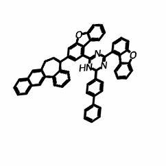 c1ccc(-c2ccc(C3N=C(c4cccc5oc6ccccc6c45)N=C(c4cc(C5CCc6cc7ccccc7cc6-c6ccccc65)cc5oc6ccccc6c45)N3)cc2)cc1